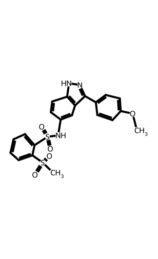 COc1ccc(-c2n[nH]c3ccc(NS(=O)(=O)c4ccccc4S(C)(=O)=O)cc23)cc1